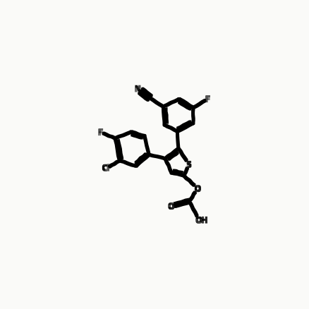 N#Cc1cc(F)cc(-c2sc(OC(=O)O)cc2-c2ccc(F)c(Cl)c2)c1